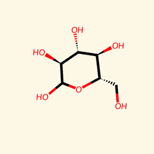 OC[C@@H]1OC(O)[C@@H](O)[C@H](O)[C@H]1O